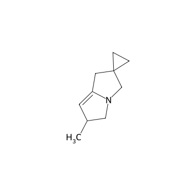 CC1C=C2CC3(CC3)CN2C1